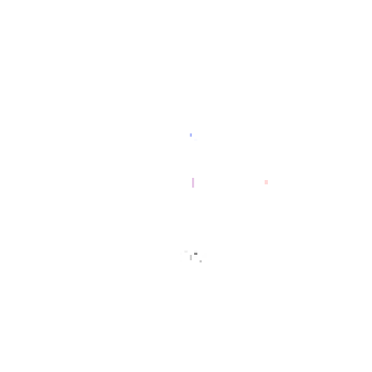 COc1ccc(Br)c(CN2CCCC2(I)CO)c1